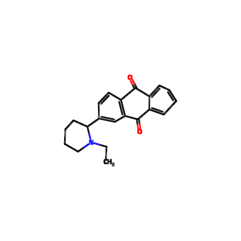 CCN1CCCCC1c1ccc2c(c1)C(=O)c1ccccc1C2=O